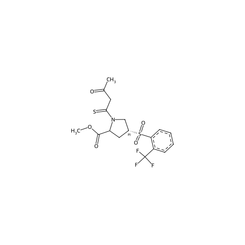 COC(=O)C1C[C@@H](S(=O)(=O)c2ccccc2C(F)(F)F)CN1C(=S)CC(C)=O